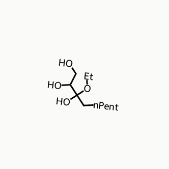 CCCCCCC(O)(OCC)C(O)CO